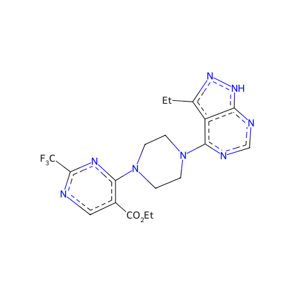 CCOC(=O)c1cnc(C(F)(F)F)nc1N1CCN(c2ncnc3[nH]nc(CC)c23)CC1